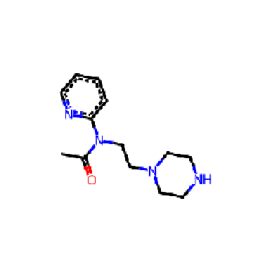 CC(=O)N(CCN1CCNCC1)c1ccccn1